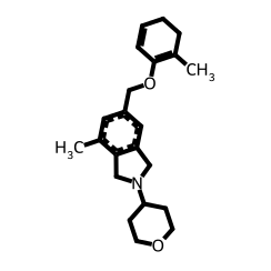 CC1=C(OCc2cc(C)c3c(c2)CN(C2CCOCC2)C3)C=CCC1